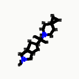 CN1CC2CC(C(C)(C)N3CCC4(CC3)CC4)CC2C1